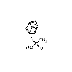 CS(=O)(=O)O.O=C1c2cccc1c2